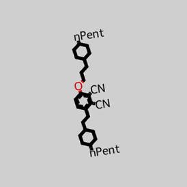 CCCCCC1CCC(CCCOc2ccc(CCC3CCC(CCCCC)CC3)c(C#N)c2C#N)CC1